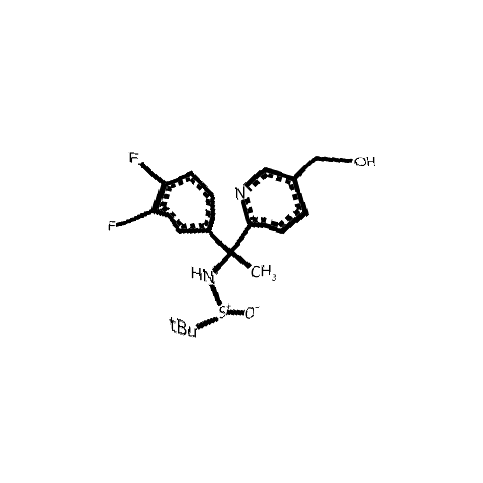 CC(N[S+]([O-])C(C)(C)C)(c1ccc(F)c(F)c1)c1ccc(CO)cn1